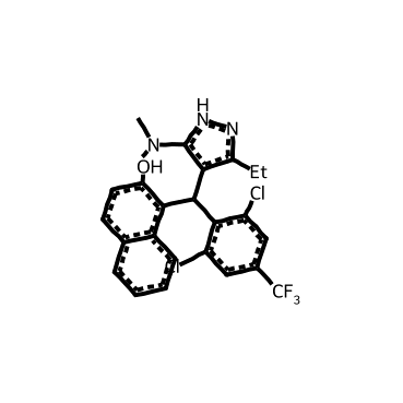 CCc1n[nH]c(N(C)C)c1C(c1c(Cl)cc(C(F)(F)F)cc1Cl)c1c(O)ccc2ccccc12